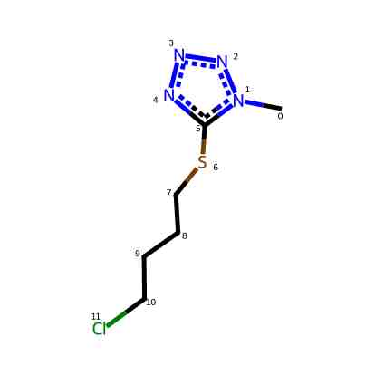 Cn1nnnc1SCCCCCl